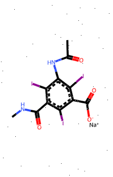 CNC(=O)c1c(I)c(NC(C)=O)c(I)c(C(=O)[O-])c1I.[Na+]